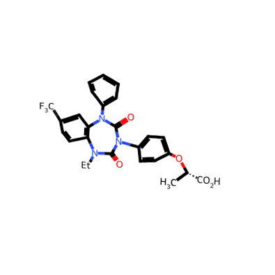 CCN1C(=O)N(c2ccc(O[C@@H](C)C(=O)O)cc2)C(=O)N(c2ccccc2)c2cc(C(F)(F)F)ccc21